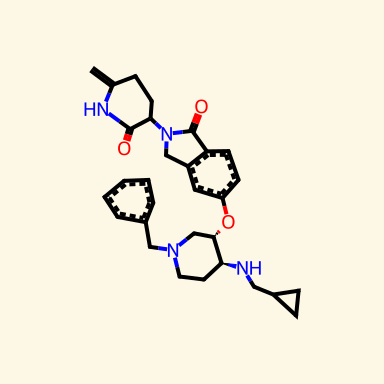 C=C1CCC(N2Cc3cc(O[C@H]4CN(Cc5ccccc5)CC[C@@H]4NCC4CC4)ccc3C2=O)C(=O)N1